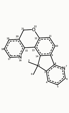 CC1(C)c2cccnc2-c2ccc3c(c21)-c1ncccc1CO3